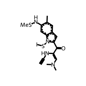 C#CN/C(=C\N(C)C)C(=O)c1cc2cc(C)c(NSC)cc2n1SI